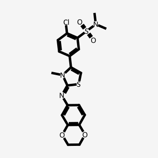 CN(C)S(=O)(=O)c1cc(-c2csc(=Nc3ccc4c(c3)OCCO4)n2C)ccc1Cl